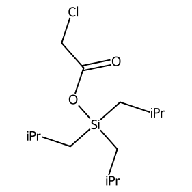 CC(C)C[Si](CC(C)C)(CC(C)C)OC(=O)CCl